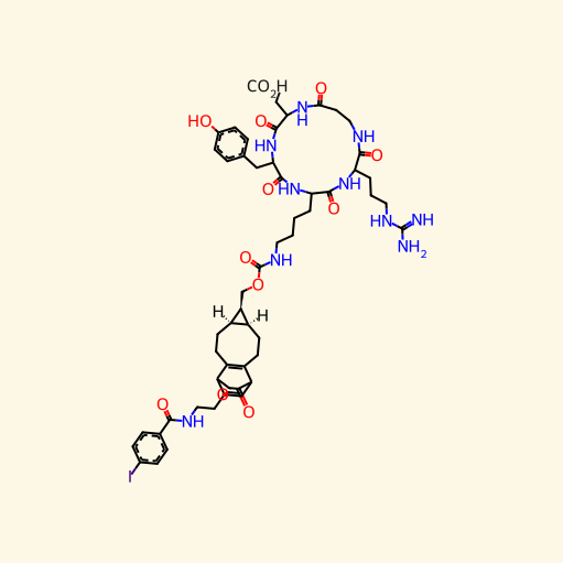 N=C(N)NCCCC1NC(=O)C(CCCCNC(=O)OC[C@@H]2[C@@H]3CCC4=C(CC[C@@H]32)C2C=C(CCNC(=O)c3ccc(I)cc3)C4C(=O)C2=O)NC(=O)C(Cc2ccc(O)cc2)NC(=O)C(CC(=O)O)NC(=O)CCNC1=O